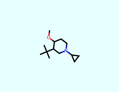 COC1CCN(C2CC2)CC1C(C)(C)C